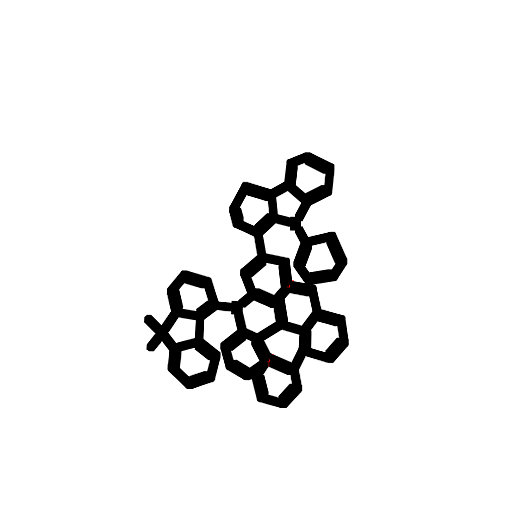 CC1(C)c2ccccc2-c2c(N(c3cccc(-c4cccc5c6ccccc6n(-c6ccccc6)c45)c3)c3ccccc3-c3cccc4cccc(-c5ccccc5)c34)cccc21